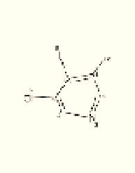 Cc1cncc(Cl)c1I